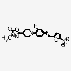 Cn1nc(C2CCN(c3ccc(/N=C/c4ccc([N+](=O)[O-])o4)cc3F)CC2)oc1=O